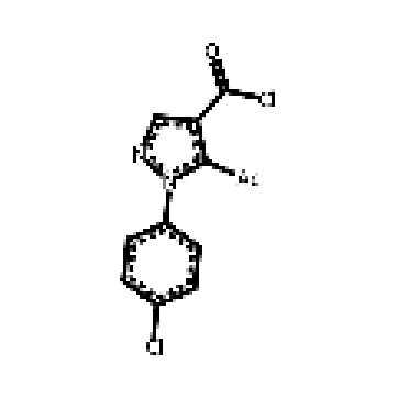 CC(=O)c1c(C(=O)Cl)cnn1-c1ccc(Cl)cc1